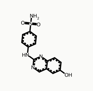 NS(=O)(=O)c1ccc(Nc2ncc3cc(O)ccc3n2)cc1